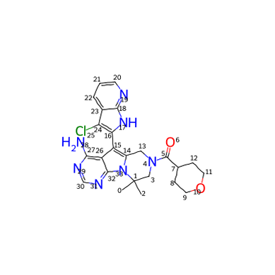 CC1(C)CN(C(=O)C2CCOCC2)Cc2c(-c3[nH]c4ncccc4c3Cl)c3c(N)ncnc3n21